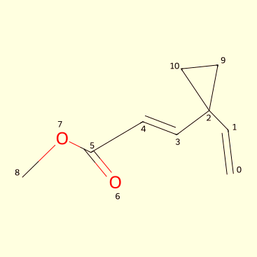 C=CC1(C=CC(=O)OC)CC1